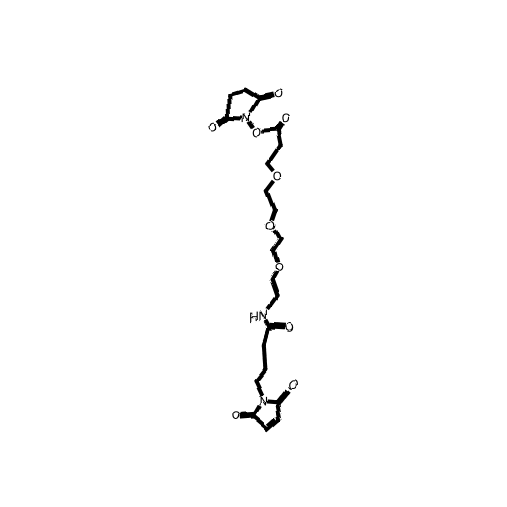 O=C(CCCN1C(=O)C=CC1=O)NCCOCCOCCOCCC(=O)ON1C(=O)CCC1=O